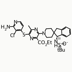 CCOC(=O)c1nc(Sc2ccnc(N)c2Cl)c(C)nc1N1CCC2(CC1)Cc1ccccc1[C@H]2N[S@+]([O-])C(C)(C)C